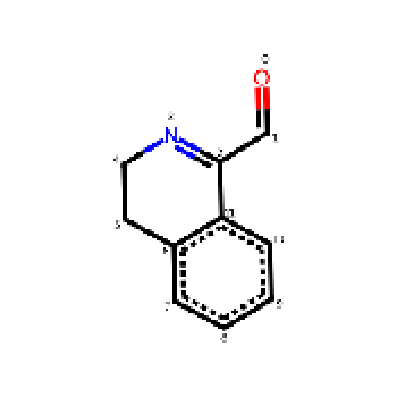 O=CC1=NCCc2ccccc21